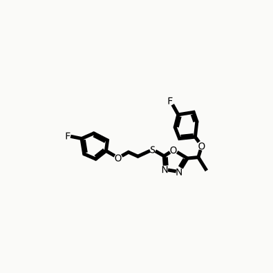 CC(Oc1ccc(F)cc1)c1nnc(SCCOc2ccc(F)cc2)o1